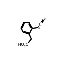 O=C(O)Cc1ccccc1N=C=S